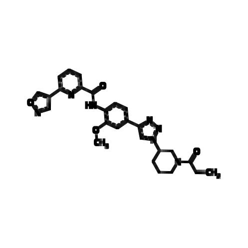 C=CC(=O)N1CCCC(n2cc(-c3ccc(NC(=O)c4cccc(-c5cnoc5)n4)c(OC)c3)nn2)C1